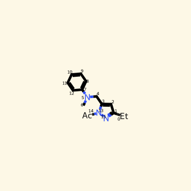 CCc1cc(CN(C)c2ccccc2)n(C(C)=O)n1